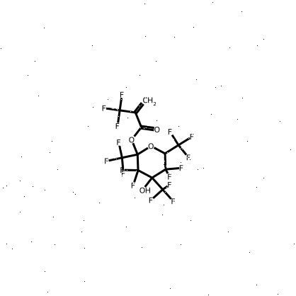 C=C(C(=O)OC1(C(F)(F)F)OC(C(F)(F)F)C(F)(F)C(O)(C(F)(F)F)C1(F)F)C(F)(F)F